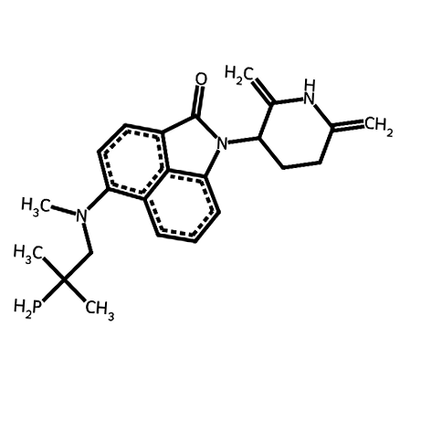 C=C1CCC(N2C(=O)c3ccc(N(C)CC(C)(C)P)c4cccc2c34)C(=C)N1